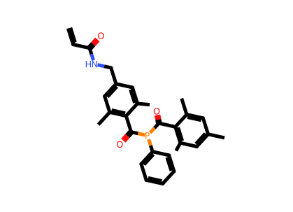 C=CC(=O)NCc1cc(C)c(C(=O)P(C(=O)c2c(C)cc(C)cc2C)c2ccccc2)c(C)c1